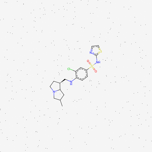 CC1CC2[C@H](CNc3ccc(S(=O)(=O)Nc4nccs4)cc3Cl)CCN2C1